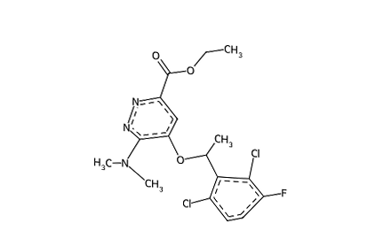 CCOC(=O)c1cc(OC(C)c2c(Cl)ccc(F)c2Cl)c(N(C)C)nn1